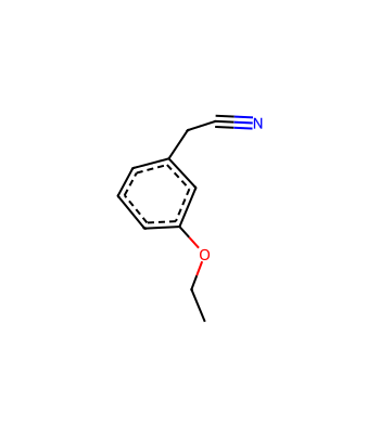 CCOc1cccc(CC#N)c1